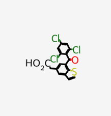 O=C(O)Cc1cc(C(=O)c2c(Cl)cc(Cl)cc2Cl)c2sccc2c1